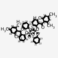 Cc1cc(C)c(C(=O)c2ccccc2OP(=O)(Oc2ccccc2)OP(=O)(Oc2ccccc2)Oc2ccccc2C(=O)c2c(C)cc(C)cc2C)c(C)c1